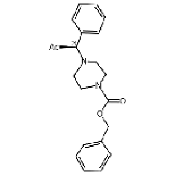 CC(=O)[C@@H](c1ccccc1)N1CCN(C(=O)OCc2ccccc2)CC1